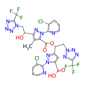 Cc1c(C(O)Cn2nnnc2C(F)(F)F)nn(-c2ncccc2Cl)c1C(=O)OC(Cn1nnc(C(F)(F)F)n1)c1cc(C(=O)O)n(-c2ncccc2Cl)n1